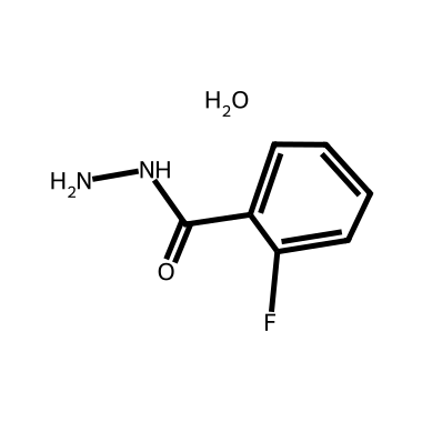 NNC(=O)c1ccccc1F.O